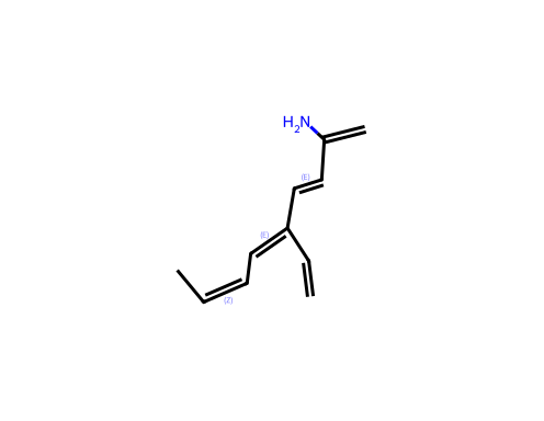 C=CC(/C=C/C(=C)N)=C\C=C/C